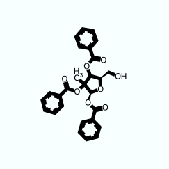 CC1(OC(=O)c2ccccc2)C(OC(=O)c2ccccc2)[C@@H](CO)O[C@H]1OC(=O)c1ccccc1